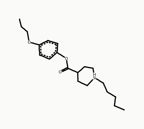 CCCCC[SiH]1CCC(C(=O)Oc2ccc(OCCC)cc2)CC1